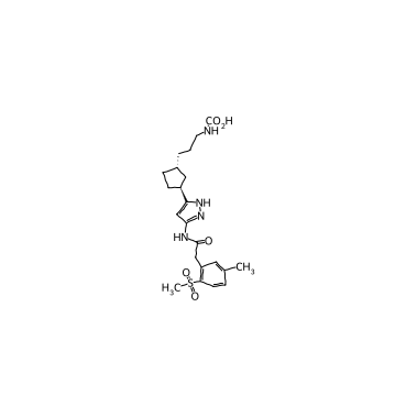 Cc1ccc(S(C)(=O)=O)c(CC(=O)Nc2cc([C@H]3CC[C@H](CCCNC(=O)O)C3)[nH]n2)c1